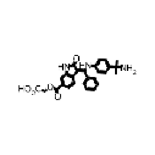 CC(C)(N)c1ccc(N/C(=C2\C(=O)Nc3cc(C(=O)OCC(=O)O)ccc32)c2ccccc2)cc1